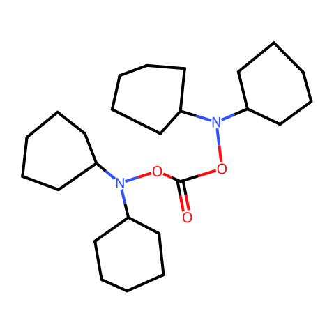 O=C(ON(C1CCCCC1)C1CCCCC1)ON(C1CCCCC1)C1CCCCC1